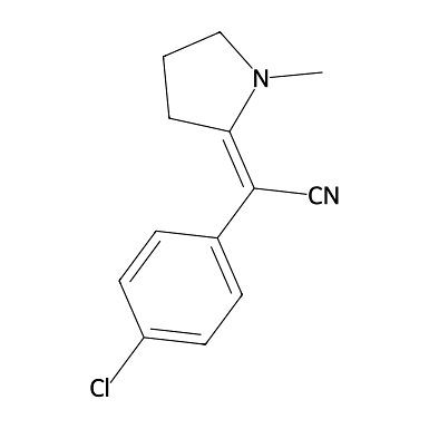 CN1CCCC1=C(C#N)c1ccc(Cl)cc1